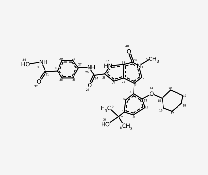 Cn1cc(-c2cc(C(C)(C)O)ccc2OC2CCCCC2)c2cc(C(=O)Nc3ccc(C(=O)NO)cc3)[nH]c2c1=O